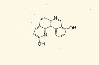 Oc1ccc2ccc3ncc4c(O)cccc4c3c2n1